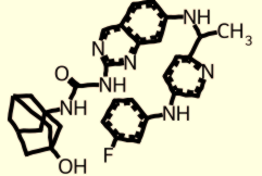 CC(Nc1ccc2cnc(NC(=O)NC34CC5CC(CC(O)(C5)C3)C4)nc2c1)c1ccc(Nc2cccc(F)c2)cn1